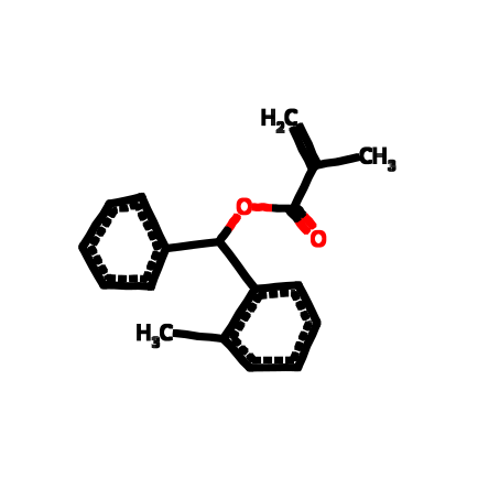 C=C(C)C(=O)OC(c1ccccc1)c1ccccc1C